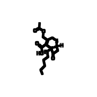 CCCCCN[N+]12C(=O)C[C@H]1SCC(COC(C)=O)=C2C(=O)O